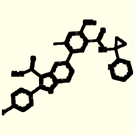 CNC(=O)c1c(-c2ccc(F)cc2)oc2ccc(-c3cc(C(=O)NC4(c5ccccn5)CC4)c(OC)cc3C)cc12